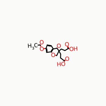 CC(=O)Oc1ccc2c(c1)OCC(CCC(=O)O)(CCC(=O)O)C2=O